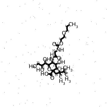 CCCOCCOC(=O)NCC(=O)NC1C(O)CC(CC(C)(C)C(C)C)(C(=O)O)OC1C(O)C(O)CO